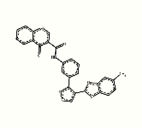 Cc1ccc2nc(-c3c[nH]nc3-c3cccc(NC(=O)c4coc5ccccc5c4=O)c3)oc2c1